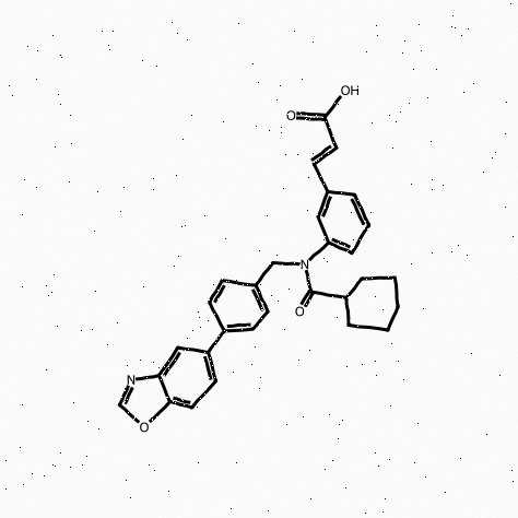 O=C(O)C=Cc1cccc(N(Cc2ccc(-c3ccc4ocnc4c3)cc2)C(=O)C2CCCCC2)c1